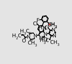 C=CC(=O)N1[C@H](C)CN(c2nc(=O)n(-c3c(C(C)C)ncnc3C(C)C)c3nc(-c4c(N)cccc4F)c(Cl)cc23)C[C@@H]1C